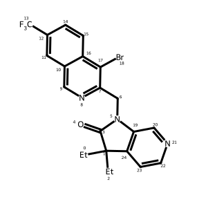 CCC1(CC)C(=O)N(Cc2ncc3cc(C(F)(F)F)ccc3c2Br)c2cnccc21